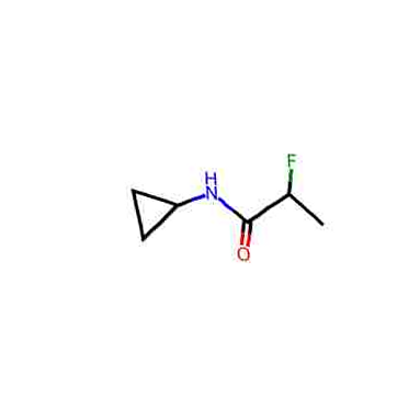 CC(F)C(=O)NC1CC1